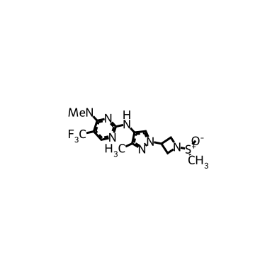 CNc1nc(Nc2cn(C3CN([S+](C)[O-])C3)nc2C)ncc1C(F)(F)F